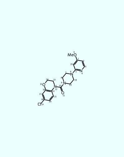 COc1ccnc(N2CCN(C(=O)N3CCOc4cc(Cl)ccc43)CC2)c1